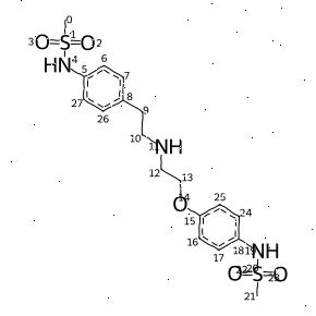 CS(=O)(=O)Nc1ccc(CCNCCOc2ccc(NS(C)(=O)=O)cc2)cc1